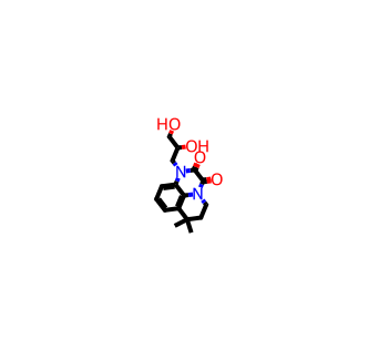 CC1(C)CCn2c(=O)c(=O)n(CC(O)CO)c3cccc1c32